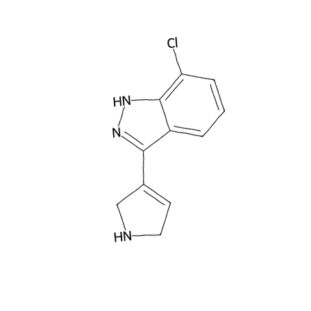 Clc1cccc2c(C3=CCNC3)n[nH]c12